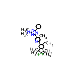 CCc1cc2c(cc1-c1cc(C)c(-c3nc(-c4ccccc4)nc(N(C)C)n3)cn1)C(C)(C)C(F)(F)C2(C)C